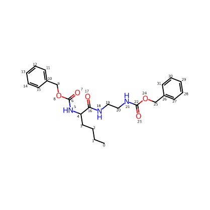 CCCCC(NC(=O)OCc1ccccc1)C(=O)NCCNC(=O)OCc1ccccc1